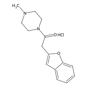 CN1CCN(C(=O)Cc2cc3ccccc3o2)CC1.Cl